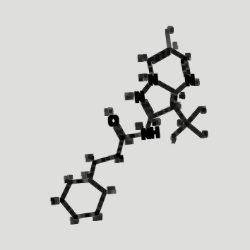 Cc1cnc2c(C(C)(C)C)c(NC(=O)CCC3CCCCC3)nn2c1